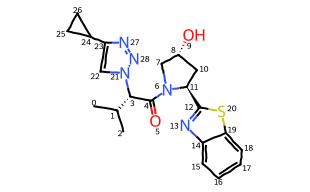 CC(C)[C@@H](C(=O)N1C[C@H](O)C[C@H]1c1nc2ccccc2s1)n1cc(C2CC2)nn1